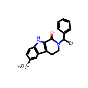 CCC(c1ccccc1)N1CCc2c([nH]c3ccc(C(=O)O)cc23)C1=O